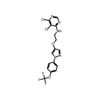 FC(F)(F)Oc1ccc(-n2cc(OCCNc3ncnc(Cl)c3Cl)cn2)cc1